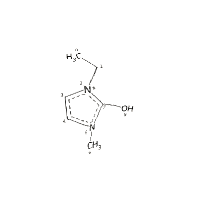 CC[n+]1ccn(C)c1O